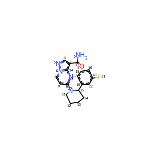 NC(=O)c1cnn2ccc(N3CCCCC3c3cccc(F)c3)nc12